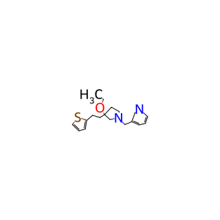 CCOC1(CCc2cccs2)CCN(Cc2cccnc2)C1